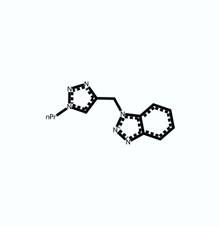 CCCn1cc(Cn2nnc3ccccc32)nn1